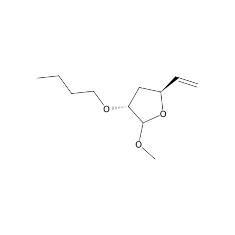 C=C[C@@H]1C[C@@H](OCCCC)C(OC)O1